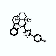 CCC12C=C(c3nc(-c4ccc(F)cc4)no3)n3c4c(c5ccccc53)CCN(CCC1)[C@H]42